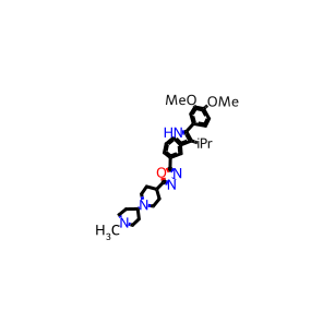 COc1ccc(-c2[nH]c3ccc(-c4nnc(C5CCN(C6CCN(C)CC6)CC5)o4)cc3c2C(C)C)cc1OC